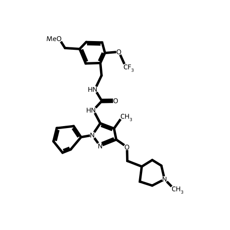 COCc1ccc(OC(F)(F)F)c(CNC(=O)Nc2c(C)c(OCC3CCN(C)CC3)nn2-c2ccccc2)c1